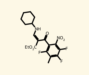 CCOC(=O)C(=CNC1CCCCC1)C(=O)c1c(F)c(C)c(F)c(F)c1[N+](=O)[O-]